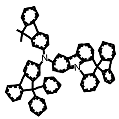 CC1(C)c2ccccc2-c2ccc(N(c3ccc4c(c3)C(c3ccccc3)(c3ccccc3)c3ccccc3-4)c3ccc4c(c3)c3cccc5c3n4-c3ccccc3C53c4ccccc4-c4ccccc43)cc21